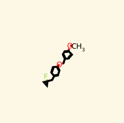 COc1ccc(COc2ccc(CC3(F)CC3)cc2)cc1